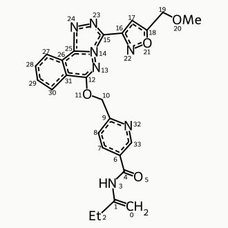 C=C(CC)NC(=O)c1ccc(COc2nn3c(-c4cc(COC)on4)nnc3c3ccccc23)nc1